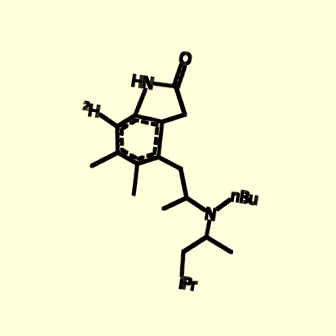 [2H]c1c(C)c(C)c(CC(C)N(CCCC)C(C)CC(C)C)c2c1NC(=O)C2